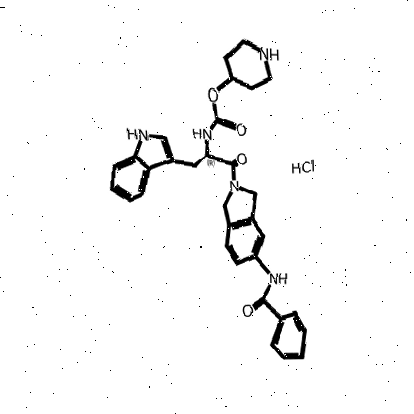 Cl.O=C(N[C@H](Cc1c[nH]c2ccccc12)C(=O)N1Cc2ccc(NC(=O)c3ccccc3)cc2C1)OC1CCNCC1